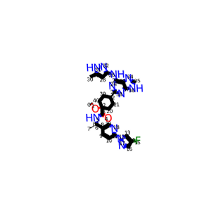 CO[C@]1(C(=O)N[C@@H](C)c2ccc(-n3cc(F)cn3)nc2)CC[C@H](c2nc(Nc3cc(C)[nH]n3)c3nc[nH]c3n2)CC1